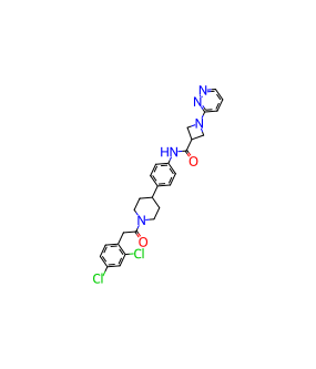 O=C(Nc1ccc(C2CCN(C(=O)Cc3ccc(Cl)cc3Cl)CC2)cc1)C1CN(c2cccnn2)C1